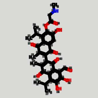 CNCC(=O)Oc1c(O)cc2c(c1C(C)C)C(=O)C(C)=C(C1=C(C)C(=O)c3c(c(C=O)c(O)c(O)c3C(C)C)C1=O)C2=O